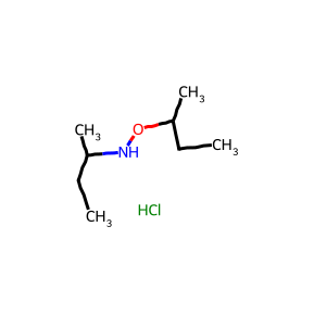 CCC(C)NOC(C)CC.Cl